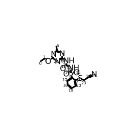 CCOc1nc(C)nc(NC(=O)NS(=O)(=O)c2ccccc2SCC#N)n1